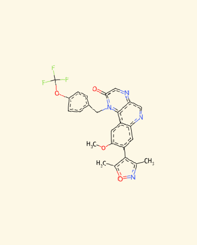 COc1cc2c(cc1-c1c(C)noc1C)ncc1ncc(=O)n(Cc3ccc(OC(F)(F)F)cc3)c12